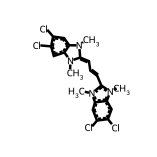 CN1C(=C/C=C/c2n(C)c3cc(Cl)c(Cl)cc3[n+]2C)N(C)c2cc(Cl)c(Cl)cc21